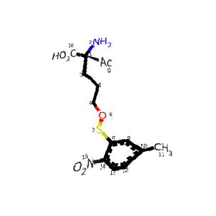 CC(=O)[C@@](N)(CCCOSc1cc(C)ccc1[N+](=O)[O-])C(=O)O